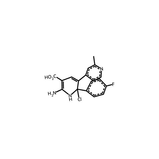 Cc1cc(C2=CC(C(=O)O)=C(N)NC2(Cl)c2ccc(F)cc2)ccn1